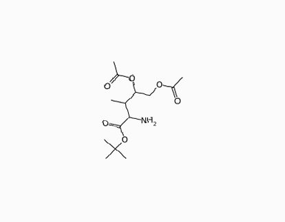 CC(=O)OCC(OC(C)=O)C(C)C(N)C(=O)OC(C)(C)C